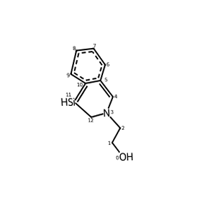 OCCN1C=c2ccccc2=[SiH]C1